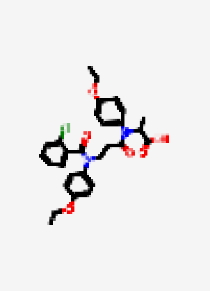 CCOc1ccc(N(CCC(=O)N(c2ccc(OCC)cc2)C(C)C(=O)O)C(=O)c2ccccc2Cl)cc1